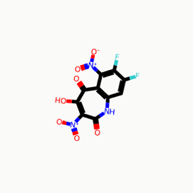 O=c1[nH]c2cc(F)c(F)c([N+](=O)[O-])c2c(=O)c(O)c1[N+](=O)[O-]